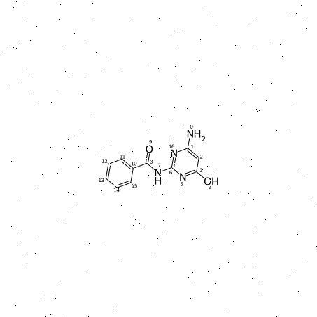 Nc1cc(O)nc(NC(=O)c2ccccc2)n1